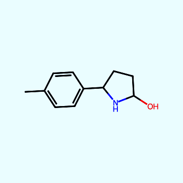 Cc1ccc(C2CCC(O)N2)cc1